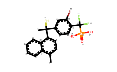 Cc1ccc(C(C)(S)c2ccc(C(F)(F)P(=O)(O)O)c(Br)c2)c2ccccc12